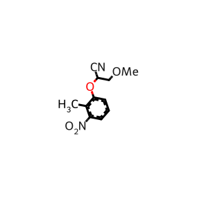 COCC(C#N)Oc1cccc([N+](=O)[O-])c1C